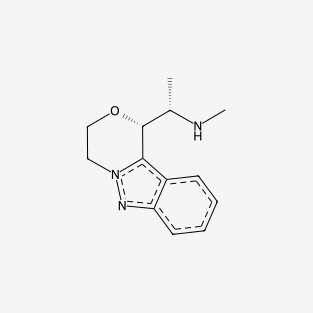 CN[C@@H](C)[C@H]1OCCn2nc3ccccc3c21